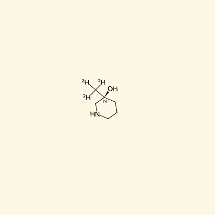 [2H]C([2H])([2H])[C@]1(O)CCCNC1